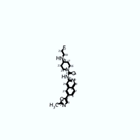 Cc1ncc(-c2ccc3cnc(NC(=O)N4CCC(NCCF)CC4)cc3c2)o1